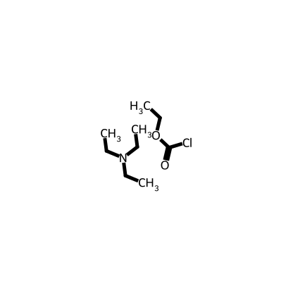 CCN(CC)CC.CCOC(=O)Cl